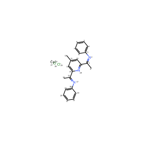 CC(=Nc1ccccc1)c1cc(C)cc(C(C)=Nc2ccccc2)n1.[Cl-].[Cl-].[Co+2]